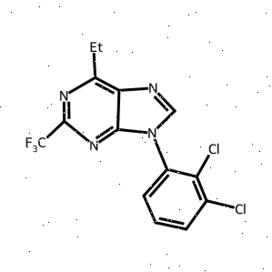 CCc1nc(C(F)(F)F)nc2c1ncn2-c1cccc(Cl)c1Cl